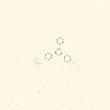 CC1(c2ccc(-c3nc(-c4ccccc4)nc(-c4ccc(B5OC(C)(C)C(C)(C)O5)cc4)n3)cc2)C[C@@H]2CC[C@@H](C2)C1